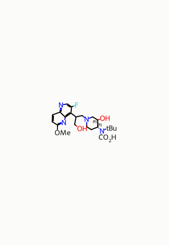 COc1ccc2ncc(F)c(C(CO)CN3CC[C@@H](N(C(=O)O)C(C)(C)C)[C@H](O)C3)c2n1